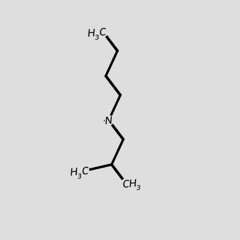 CCCC[N]CC(C)C